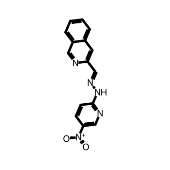 O=[N+]([O-])c1ccc(NN=Cc2cc3ccccc3cn2)nc1